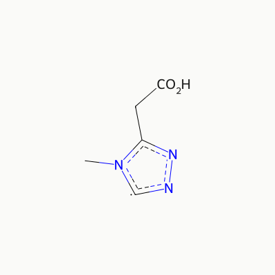 Cn1[c]nnc1CC(=O)O